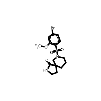 O=C1NCCC12CCCN(S(=O)(=O)c1ccc(Br)cc1OC(F)(F)F)C2